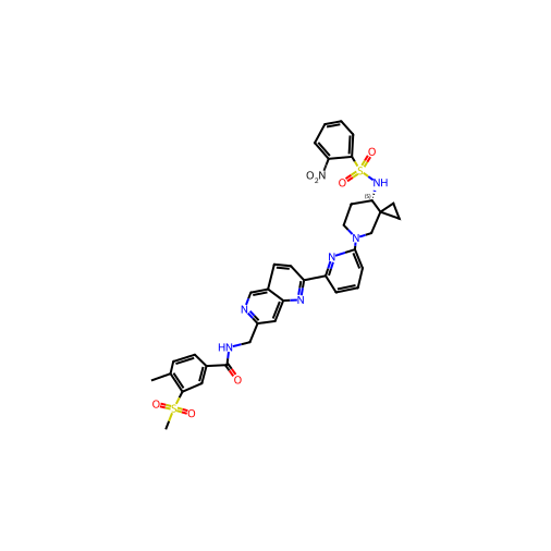 Cc1ccc(C(=O)NCc2cc3nc(-c4cccc(N5CC[C@H](NS(=O)(=O)c6ccccc6[N+](=O)[O-])C6(CC6)C5)n4)ccc3cn2)cc1S(C)(=O)=O